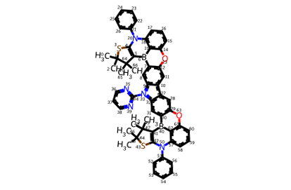 CC1(C)SC2=C(B3c4cc5c(cc4Oc4cccc(c43)N2c2ccccc2)c2cc3c(cc2n5-c2ncccn2)B2C4=C(SC(C)(C)C4(C)C)N(c4ccccc4)c4cccc(c42)O3)C1(C)C